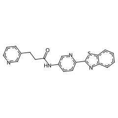 O=C(CCc1cccnc1)Nc1ccc(-c2nc3ccccc3s2)nc1